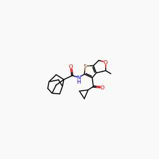 CC1OCc2sc(NC(=O)C34CC5CC(CC3C5)C4)c(C(=O)C3CC3)c21